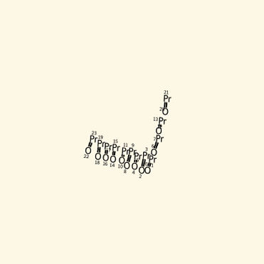 [O]=[Pr].[O]=[Pr].[O]=[Pr].[O]=[Pr].[O]=[Pr].[O]=[Pr].[O]=[Pr].[O]=[Pr].[O]=[Pr].[O]=[Pr].[O]=[Pr].[O]=[Pr]